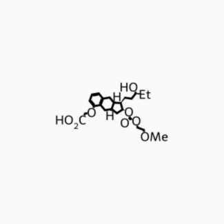 CC[C@H](O)CC[C@@H]1[C@H]2Cc3cccc(OCC(=O)O)c3C[C@H]2C[C@H]1OC(=O)OCCOC